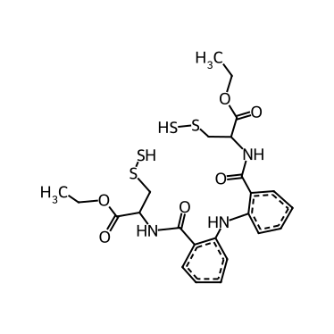 CCOC(=O)C(CSS)NC(=O)c1ccccc1Nc1ccccc1C(=O)NC(CSS)C(=O)OCC